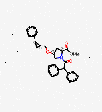 COC(=O)[C@@H]1C[C@H](OC[C@@H]2C[C@H]2c2ccccc2)CN1C(=O)C(c1ccccc1)c1ccccc1